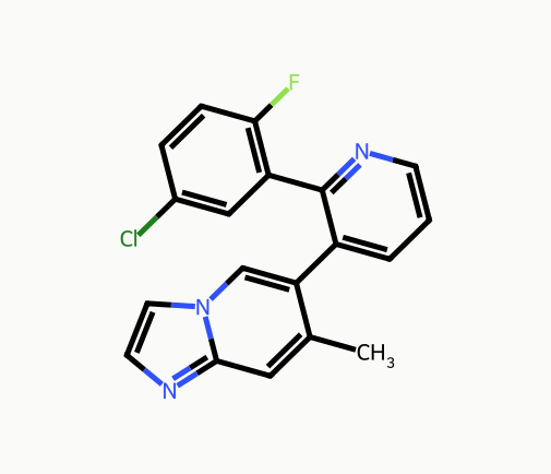 Cc1cc2nccn2cc1-c1cccnc1-c1cc(Cl)ccc1F